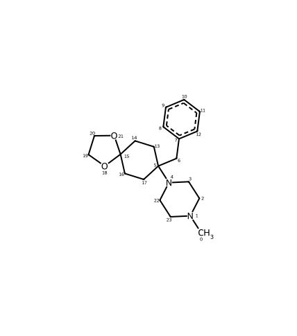 CN1CCN(C2(Cc3ccccc3)CCC3(CC2)OCCO3)CC1